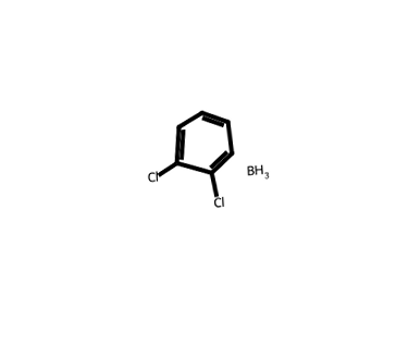 B.Clc1ccccc1Cl